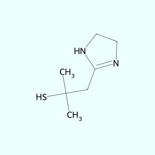 CC(C)(S)CC1=NCCN1